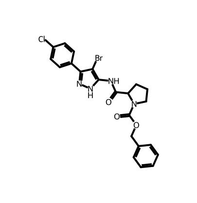 O=C(Nc1[nH]nc(-c2ccc(Cl)cc2)c1Br)C1CCCN1C(=O)OCc1ccccc1